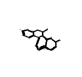 CC1C=Cc2ccc3c(c2C1)C(C)Cc1ccccc1-3